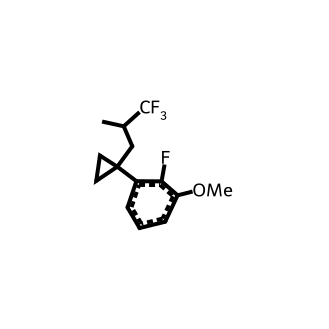 COc1cccc(C2(CC(C)C(F)(F)F)CC2)c1F